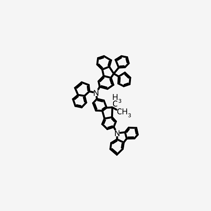 CC1(C)c2cc(N(c3ccc4c(c3)-c3ccccc3C4(c3ccccc3)c3ccccc3)c3cccc4ccccc34)ccc2-c2ccc(-n3c4ccccc4c4ccccc43)cc21